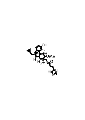 COC1[C@@H]2Oc3c(O)ccc4c3[C@@]23CCN(CC2CC2)[C@H](C4)C3C[C@@]1(C)CNC(=O)CCc1nnn[nH]1